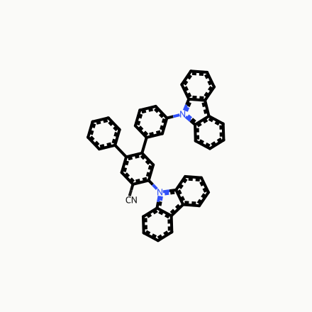 N#Cc1cc(-c2ccccc2)c(-c2cccc(-n3c4ccccc4c4ccccc43)c2)cc1-n1c2ccccc2c2ccccc21